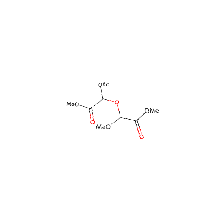 COC(=O)C(OC)OC(OC(C)=O)C(=O)OC